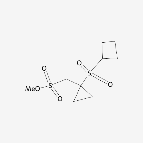 COS(=O)(=O)CC1(S(=O)(=O)C2CCC2)CC1